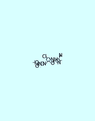 Cc1ncc(C(=O)Nc2cc(Cl)cc(CN3CCN(C(=O)OC(C)(C)C)[C@@H](C)C3)c2C)cc1C#N